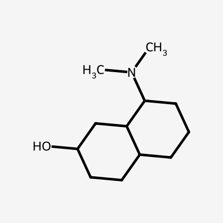 CN(C)C1CCCC2CCC(O)CC21